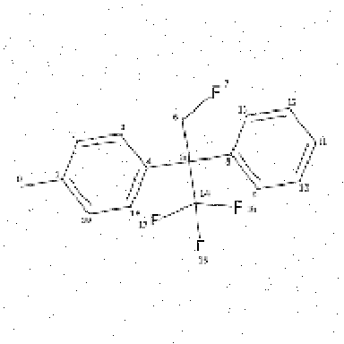 Cc1ccc(C(CF)(c2ccccc2)C(F)(F)F)cc1